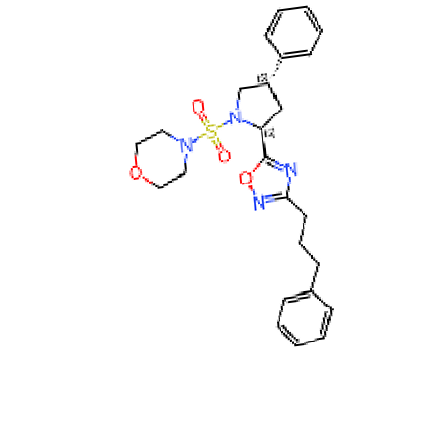 O=S(=O)(N1CCOCC1)N1C[C@H](c2ccccc2)C[C@H]1c1nc(CCCc2ccccc2)no1